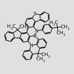 CC(C)(C)c1ccc(N2B3c4cccc5c4N(c4ccccc4C5(C)C)c4cc5c(c(c43)-c3ccc4sc6ccccc6c4c32)C(C)(C)c2ccccc2-5)cc1